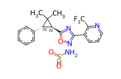 CC1(C)[C@@H](c2ccccc2)[C@@H]1c1nc(-c2cccnc2C(F)(F)F)no1.N[SH](=O)=O